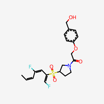 C\C=C/C(F)=C\C(=C\F)S(=O)(=O)C1CCN(C(=O)COc2ccc(CO)cc2)C1